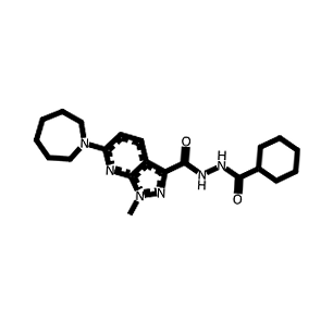 Cn1nc(C(=O)NNC(=O)C2CCCCC2)c2ccc(N3CCCCCC3)nc21